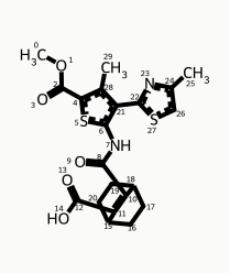 COC(=O)c1sc(NC(=O)C2=C(C(=O)O)C3CCC2CC3)c(-c2nc(C)cs2)c1C